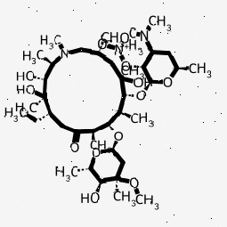 CC[C@H]1CC(=O)[C@H](C)[C@@H](O[C@H]2C[C@@](C)(OC)[C@@H](O)[C@H](C)O2)[C@H](C)[C@@H](O[C@@H]2O[C@H](C)CC(N(C)C)[C@H]2O[N+](=O)[O-])[C@](C)(O)C[C@@H](C)CN(C)[C@H](C)[C@@H](O)[C@]1(C)O